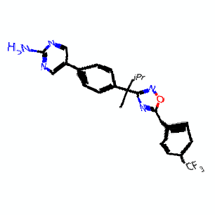 CC(C)C(C)(c1ccc(-c2cnc(N)nc2)cc1)c1noc(-c2ccc(C(F)(F)F)cc2)n1